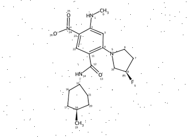 CNc1cc(N2CC[C@@H](F)C2)c(C(=O)N[C@H]2CC[C@H](C)CC2)cc1[N+](=O)[O-]